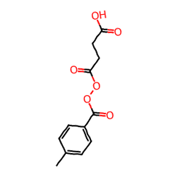 Cc1ccc(C(=O)OOC(=O)CCC(=O)O)cc1